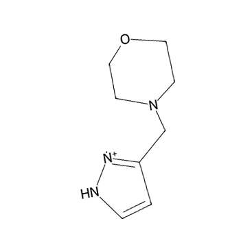 C1=CC(CN2CCOCC2)=[N+]N1